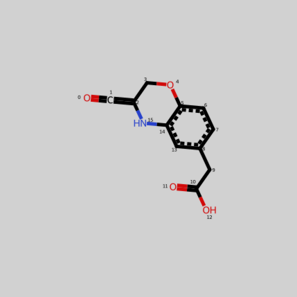 O=C=C1COc2ccc(CC(=O)O)cc2N1